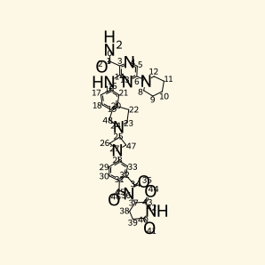 NC(=O)c1ncc(N2CCCCC2)nc1Nc1ccc2c(c1)CCN(C1CN(c3ccc4c(c3)C(=O)N(C3CCC(=O)NC3=O)C4=O)C1)C2